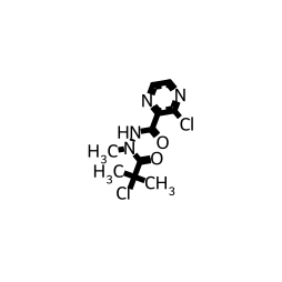 CN(NC(=O)c1nccnc1Cl)C(=O)C(C)(C)Cl